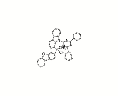 CC1(C)c2ccc3c(oc4ccccc43)c2-c2ccc3c4ccccc4n(-c4nc(-c5ccccc5)nc(-c5ccccc5)n4)c3c21